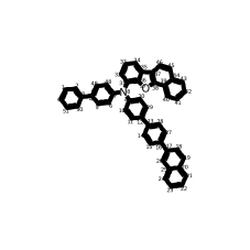 c1ccc(-c2ccc(N(c3ccc(-c4ccc(-c5ccc6ccccc6c5)cc4)cc3)c3cccc4c3oc3c5ccccc5ccc43)cc2)cc1